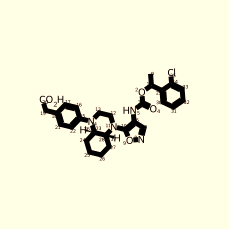 CC(OC(=O)Nc1cnoc1N1CCN(c2ccc(CC(=O)O)cc2)[C@@H]2CCCC[C@H]21)c1ccccc1Cl